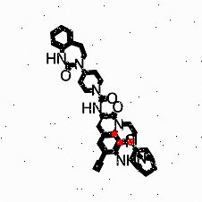 C#Cc1cc(C[C@@H](NC(=O)N2CCC(N3CCc4ccccc4NC3=O)CC2)C(=O)N2CCN(C3CC4CCC(C3)N4C)CC2)cc(Cl)c1N